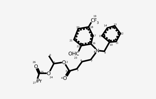 CC(OC(=O)CCCN(Cc1ccccc1)c1cc(C(F)(F)F)ccc1C=O)OC(=O)C(C)C